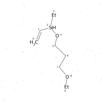 C=C[SiH](CC)OCCCOCC